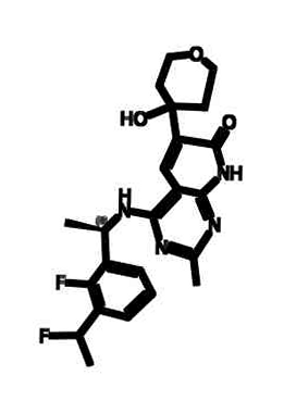 Cc1nc(N[C@H](C)c2cccc(C(C)F)c2F)c2cc(C3(O)CCOCC3)c(=O)[nH]c2n1